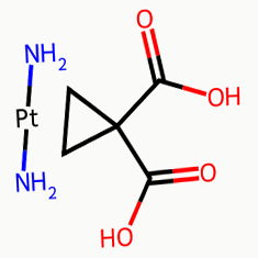 O=C(O)C1(C(=O)O)CC1.[NH2][Pt][NH2]